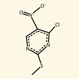 CSc1ncc([N+](=O)[O-])c(Cl)n1